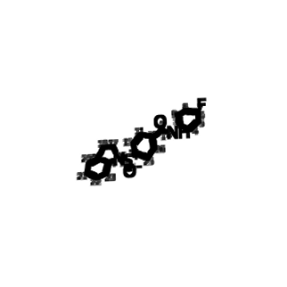 O=C(Nc1ccc(F)cc1)c1ccc([S+]([O-])N2CCc3ccccc32)cc1